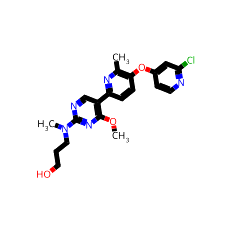 COc1nc(N(C)CCCO)ncc1-c1ccc(Oc2ccnc(Cl)c2)c(C)n1